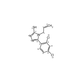 C=CCn1c(S)nnc1-c1ccc(Cl)cc1Cl